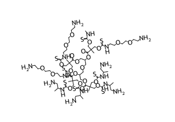 CNC(=S)OCC(C)(COC(=S)NCCOCCOCCN)C(=O)OC(COCC(COC(=O)C(C)(COC(=S)NC(C)CN)COC(=S)NC(C)CN)OC(=O)C(C)(COC(=S)NC(C)CN)COC(=S)NC(C)CN)COC(=O)C(C)(COC(=S)NCCOCCOCCN)COC(=S)NCCOCCOCCN